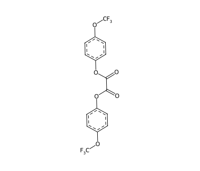 O=C(Oc1ccc(OC(F)(F)F)cc1)C(=O)Oc1ccc(OC(F)(F)F)cc1